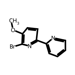 COc1ccc(-c2ccccn2)nc1Br